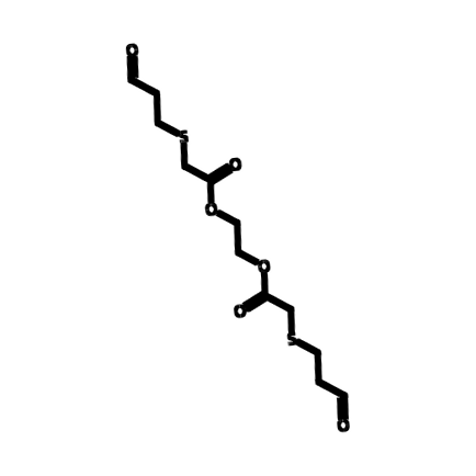 O=CCCSCC(=O)OCCOC(=O)CSCCC=O